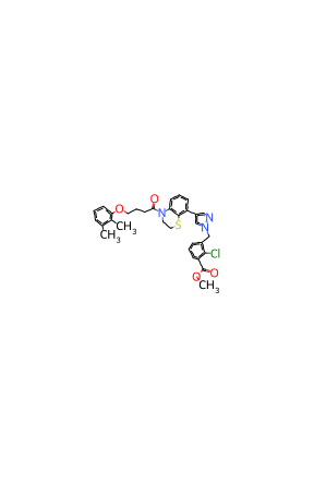 COC(=O)c1cccc(Cn2cc(-c3cccc4c3SCCN4C(=O)CCCOc3cccc(C)c3C)cn2)c1Cl